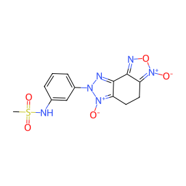 CS(=O)(=O)Nc1cccc(-n2nc3c([n+]2[O-])CCc2c-3no[n+]2[O-])c1